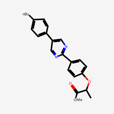 CCCCc1ccc(-c2cnc(-c3ccc(OC(C)C(=O)OC)cc3)nc2)cc1